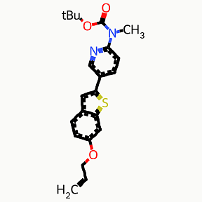 C=CCOc1ccc2cc(-c3ccc(N(C)C(=O)OC(C)(C)C)nc3)sc2c1